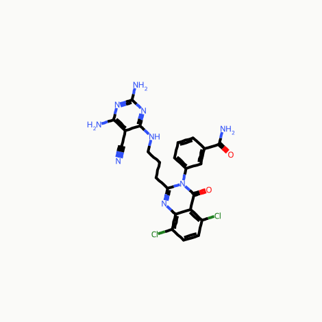 N#Cc1c(N)nc(N)nc1NCCCc1nc2c(Cl)ccc(Cl)c2c(=O)n1-c1cccc(C(N)=O)c1